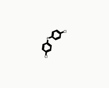 Clc1ccc([P]c2ccc(Cl)cc2)cc1